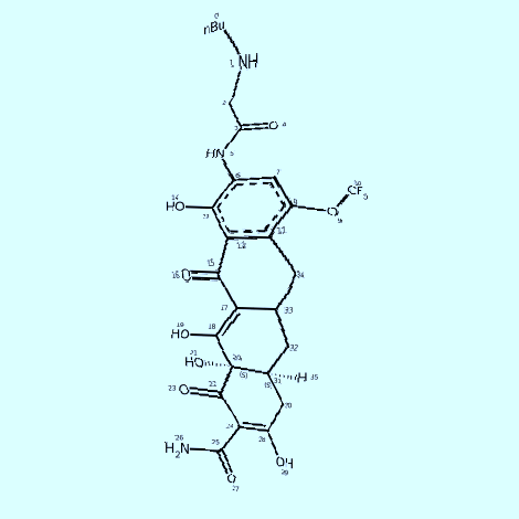 CCCCNCC(=O)Nc1cc(OC(F)(F)F)c2c(c1O)C(=O)C1=C(O)[C@]3(O)C(=O)C(C(N)=O)=C(O)C[C@@H]3CC1C2